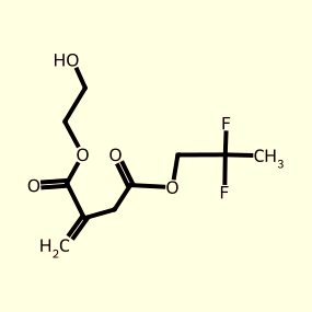 C=C(CC(=O)OCC(C)(F)F)C(=O)OCCO